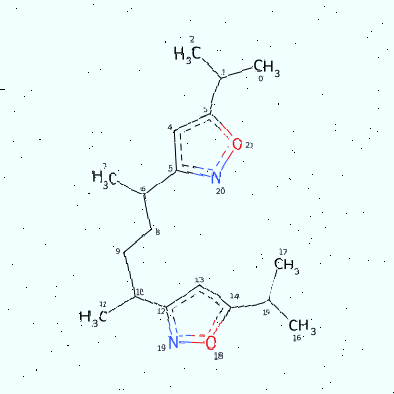 CC(C)c1cc(C(C)CCC(C)c2cc(C(C)C)on2)no1